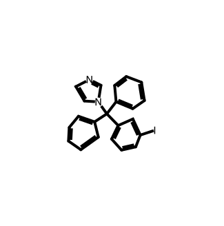 Ic1cccc(C(c2ccccc2)(c2ccccc2)n2ccnc2)c1